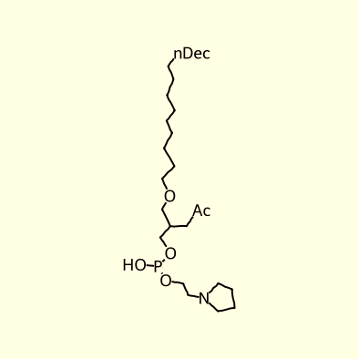 CCCCCCCCCCCCCCCCCCCOCC(COP(O)OCCN1CCCC1)CC(C)=O